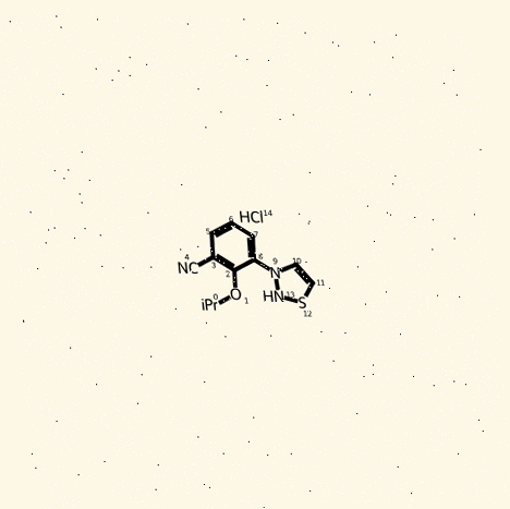 CC(C)Oc1c(C#N)cccc1N1C=CSN1.Cl